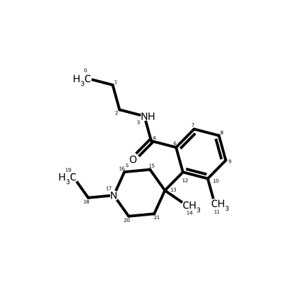 CCCNC(=O)c1cccc(C)c1C1(C)CCN(CC)CC1